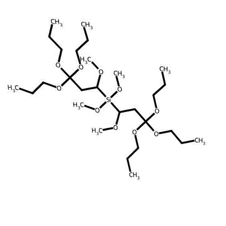 CCCOC(CC(OC)[Si](OC)(OC)C(CC(OCCC)(OCCC)OCCC)OC)(OCCC)OCCC